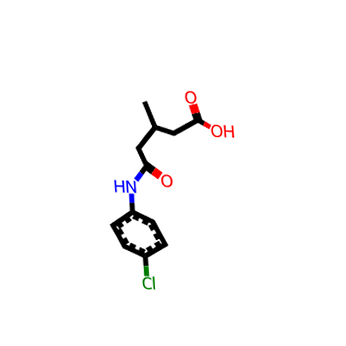 CC(CC(=O)O)CC(=O)Nc1ccc(Cl)cc1